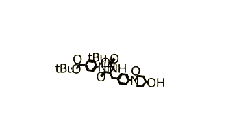 CC(C)(C)OC(=O)NC(Cc1ccc(N2CCC(O)CC2=O)cc1)C(=O)Nc1ccc(C(=O)OC(C)(C)C)cc1